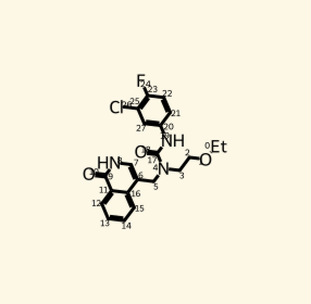 CCOCCN(Cc1c[nH]c(=O)c2ccccc12)C(=O)Nc1ccc(F)c(Cl)c1